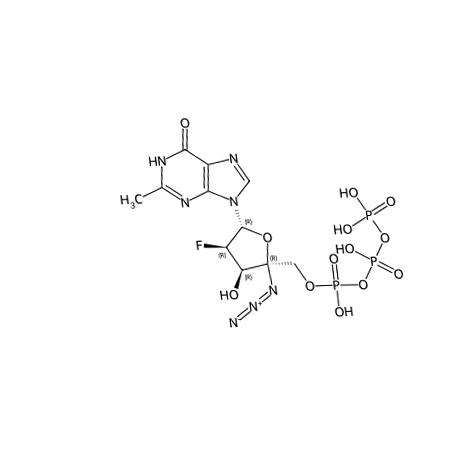 Cc1nc2c(ncn2[C@@H]2O[C@@](COP(=O)(O)OP(=O)(O)OP(=O)(O)O)(N=[N+]=[N-])[C@@H](O)[C@H]2F)c(=O)[nH]1